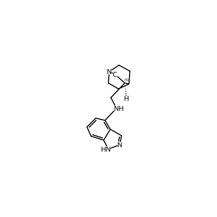 c1cc(NC[C@H]2CN3CCC2CC3)c2cn[nH]c2c1